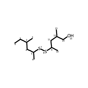 CCC(C)CC(C)SSC(C)CC(C)CO